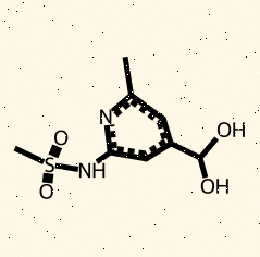 Cc1cc(C(O)O)cc(NS(C)(=O)=O)n1